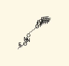 CCC[C@@H](F)CCOc1cnc(-c2ccc(CCCCCCOCC(F)(F)C(F)(F)OC(F)(F)C(F)(F)C(F)(F)C(F)(F)F)cc2)nc1